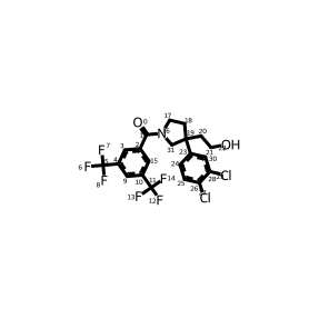 O=C(c1cc(C(F)(F)F)cc(C(F)(F)F)c1)N1CCC(CCO)(c2ccc(Cl)c(Cl)c2)C1